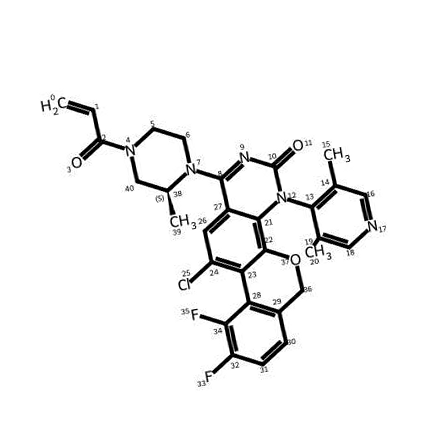 C=CC(=O)N1CCN(c2nc(=O)n(-c3c(C)cncc3C)c3c4c(c(Cl)cc23)-c2c(ccc(F)c2F)CO4)[C@@H](C)C1